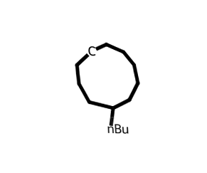 [CH2]CCCC1CCCCCCCCC1